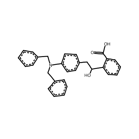 O=C(O)c1ccccc1C(O)Cc1ccc(N(Cc2ccccc2)Cc2ccccc2)cc1